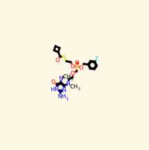 C=Nc1c(N(C)CCOCP(=O)(OCCSC(=O)C2CCC2)OCc2cccc(F)c2)nc(N)[nH]c1=O